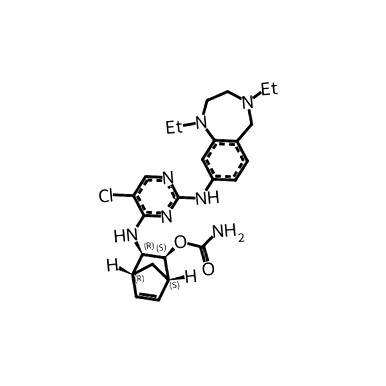 CCN1CCN(CC)c2cc(Nc3ncc(Cl)c(N[C@H]4[C@@H](OC(N)=O)[C@@H]5C=C[C@H]4C5)n3)ccc2C1